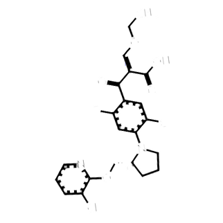 CCO/C=C(\C(=O)O)C(=O)c1cc(Cl)c(N2CCC[C@@H]2COc2ncccc2Cl)cc1F